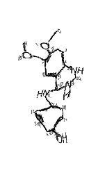 COc1cc2c(cc1OC)C(Nc1ccc(O)cc1)NCN2